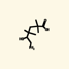 CC(C)(CC(C)(C)C(O)CP)C(=O)O